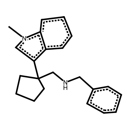 Cn1cc(C2(CNCc3ccccc3)CCCC2)c2ccccc21